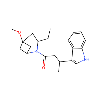 CCC1CC2(OC)CC(C2)N1C(=O)CC(C)c1c[nH]c2ccccc12